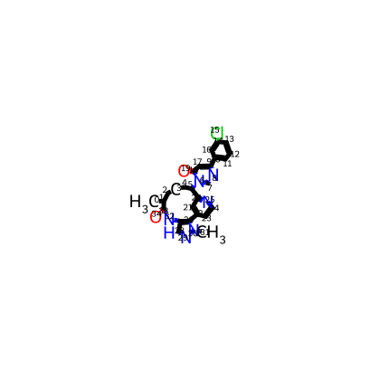 CC1CCCC(n2cnc(-c3cccc(Cl)c3)cc2=O)c2cc(ccn2)-c2c(cnn2C)NC1=O